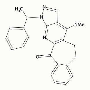 CNc1c2c(nc3c1cnn3C(C)c1ccccc1)C(=O)c1ccccc1CC2